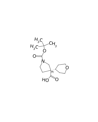 CC(C)(C)OC(=O)N1CC[C@@](C(=O)O)(C2CCOCC2)C1